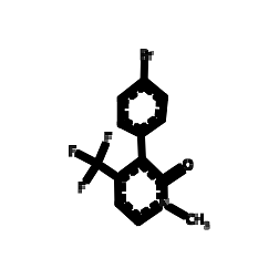 Cn1ccc(C(F)(F)F)c(-c2ccc(Br)cc2)c1=O